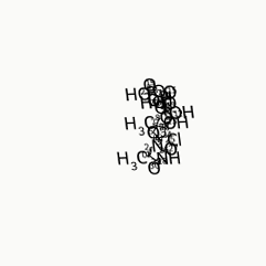 Cc1cn([C@H]2OC(C)(COP(=O)(O)OP(=O)(O)OP(=O)(O)O)[C@@H](O)C2Cl)c(=O)[nH]c1=O